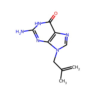 C=C(C)Cn1cnc2c(=O)[nH]c(N)nc21